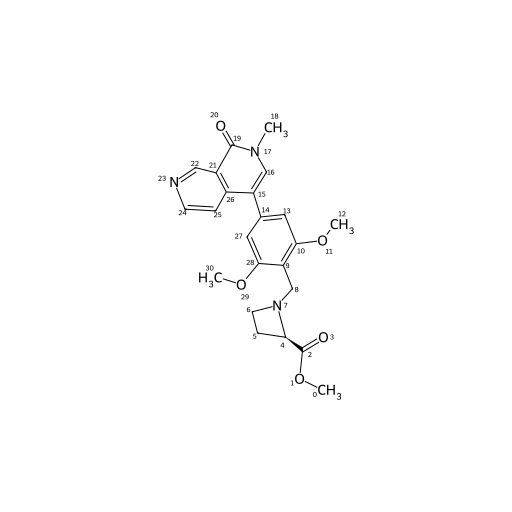 COC(=O)[C@H]1CCN1Cc1c(OC)cc(-c2cn(C)c(=O)c3cnccc23)cc1OC